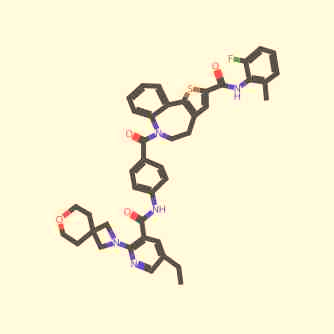 CCc1cnc(N2CC3(CCOCC3)C2)c(C(=O)Nc2ccc(C(=O)N3CCc4cc(C(=O)Nc5c(C)cccc5F)sc4-c4ccccc43)cc2)c1